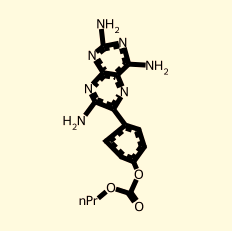 CCCOC(=O)Oc1ccc(-c2nc3c(N)nc(N)nc3nc2N)cc1